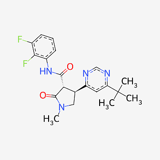 CN1C[C@H](c2cc(C(C)(C)C)ncn2)[C@@H](C(=O)Nc2cccc(F)c2F)C1=O